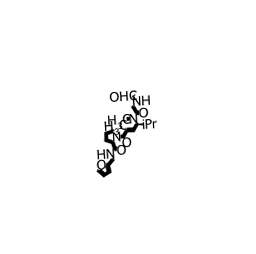 C/C(=C\[C@H](C(C)C)N(C)C(=O)CNC=O)C(=O)N1CCCC1C(=O)NCc1ccco1